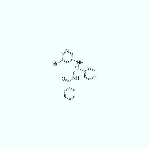 O=C(NC[C@H](Nc1cncc(Br)c1)c1ccccc1)c1ccccc1